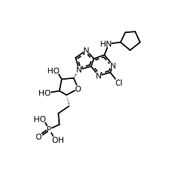 O=P(O)(O)CCC[C@H]1O[C@@H](n2cnc3c(NC4CCCC4)nc(Cl)nc32)C(O)C1O